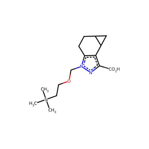 C[Si](C)(C)CCOCn1nc(C(=O)O)c2c1CCC1CC21